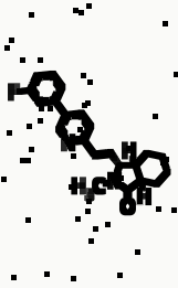 CN1C(=O)[C@H]2CCCC[C@H]2[C@@H]1C=Cc1ccc(-c2cccc(F)c2)cn1